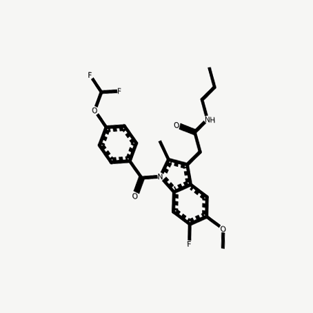 CCCNC(=O)Cc1c(C)n(C(=O)c2ccc(OC(F)F)cc2)c2cc(F)c(OC)cc12